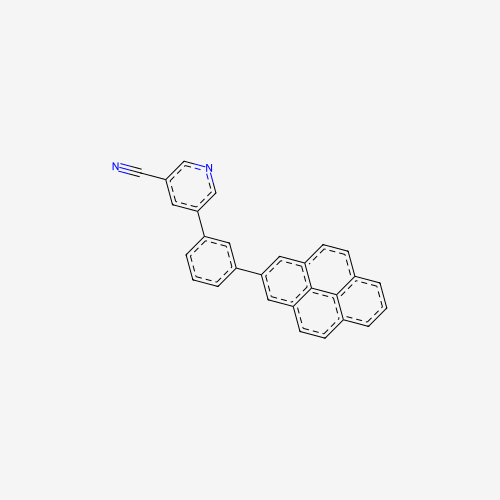 N#Cc1cncc(-c2cccc(-c3cc4ccc5cccc6ccc(c3)c4c56)c2)c1